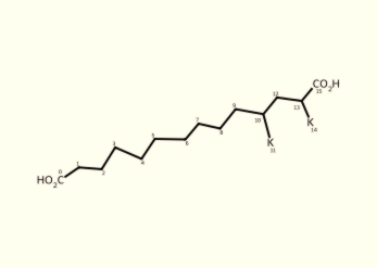 O=C(O)CCCCCCCCC[CH]([K])C[CH]([K])C(=O)O